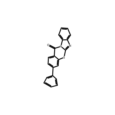 O=c1c2ccc(-c3ccccc3)cc2sc2nc3ccccc3n12